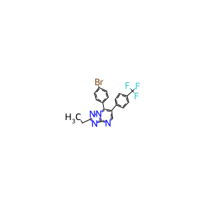 CCc1nc2ncc(-c3ccc(C(F)(F)F)cc3)c(-c3ccc(Br)cc3)n2n1